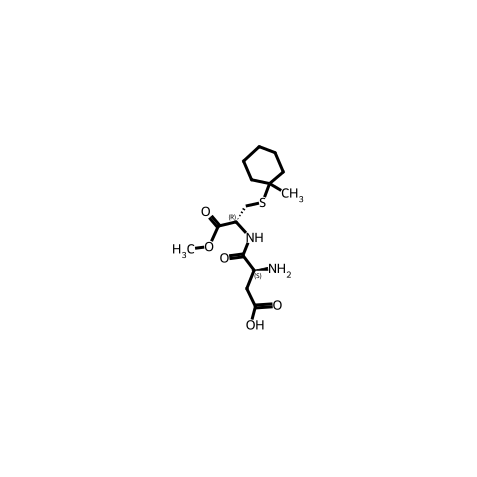 COC(=O)[C@H](CSC1(C)CCCCC1)NC(=O)[C@@H](N)CC(=O)O